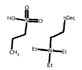 CCCCCCCCCCCC[N+](CC)(CC)CC.CCCS(=O)(=O)O